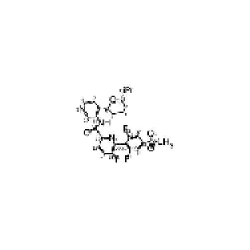 CC(C)[C@@H]1CCC[C@H](c2ccncc2NC(=O)c2ccc(F)c(-c3c(F)cc(S(C)(=O)=O)cc3F)n2)O1